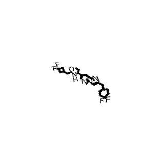 CCC(NC(=O)CC1CC(F)(F)C1)c1cnn2cc(CC3CCC(F)(F)CC3)nc2c1